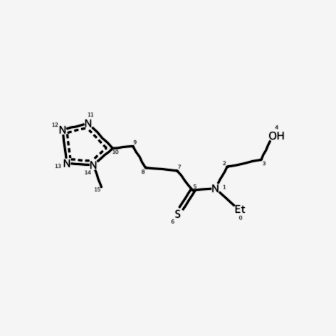 CCN(CCO)C(=S)CCCc1nnnn1C